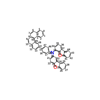 c1ccc2c(c1)ccc1ccc3ccc(-c4ccc(N(c5ccc6oc7ccccc7c6c5)c5cccc6c5oc5ccccc56)cc4)cc3c12